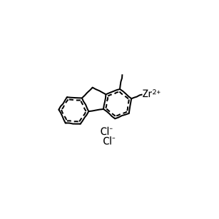 Cc1[c]([Zr+2])ccc2c1Cc1ccccc1-2.[Cl-].[Cl-]